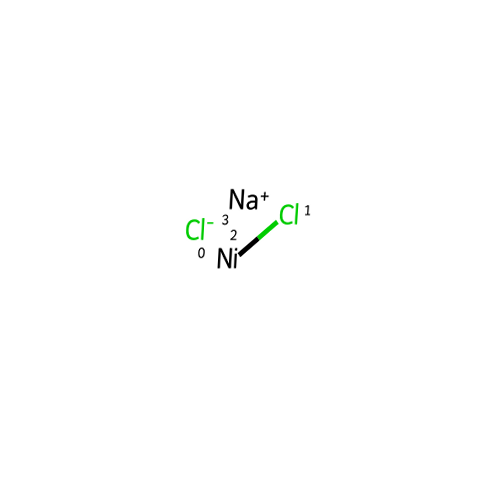 [Cl-].[Cl][Ni].[Na+]